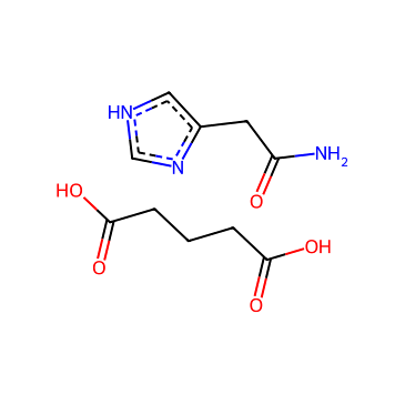 NC(=O)Cc1c[nH]cn1.O=C(O)CCCC(=O)O